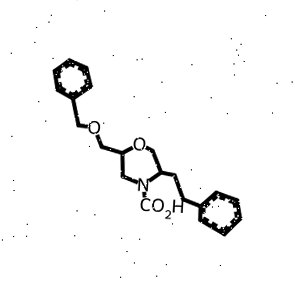 O=C(O)N1CC(COCc2ccccc2)OCC1CCc1ccccc1